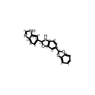 c1ccc2c(c1)OC(c1ccc3c(c1)OC(c1ccc4nc[nH]c4c1)N3)S2